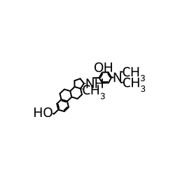 CCN(CC)c1ccc(CN[C@H]2CCC3C4CCc5cc(CO)ccc5C4CC[C@@]32C)c(O)c1